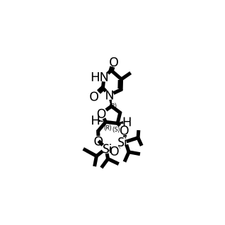 Cc1cn([C@H]2C[C@@H]3O[Si](C(C)C)(C(C)C)O[Si](C(C)C)(C(C)C)OC[C@H]3O2)c(=O)[nH]c1=O